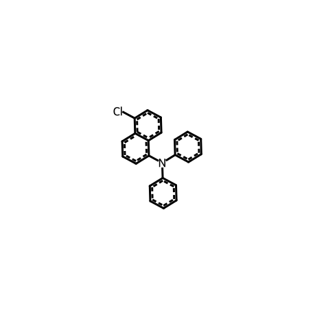 Clc1cccc2c(N(c3ccccc3)c3ccccc3)cccc12